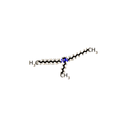 CCCCCCCCCCCCCn1cc[n+](CCCCCCCCCCCCC)c1CCCCCCC